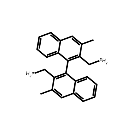 Cc1cc2ccccc2c(-c2c(CP)c(C)cc3ccccc23)c1CP